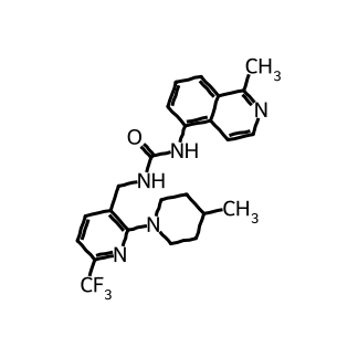 Cc1nccc2c(NC(=O)NCc3ccc(C(F)(F)F)nc3N3CCC(C)CC3)cccc12